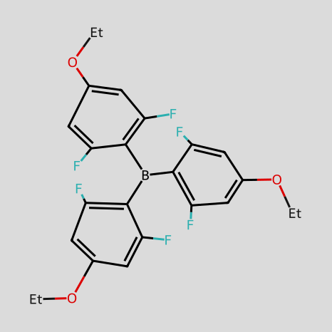 CCOc1cc(F)c(B(c2c(F)cc(OCC)cc2F)c2c(F)cc(OCC)cc2F)c(F)c1